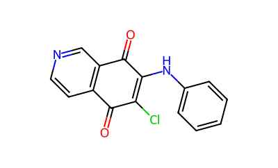 O=C1C(Cl)=C(Nc2ccccc2)C(=O)c2cnccc21